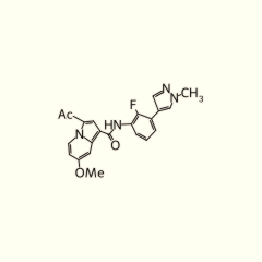 COc1ccn2c(C(C)=O)cc(C(=O)Nc3cccc(-c4cnn(C)c4)c3F)c2c1